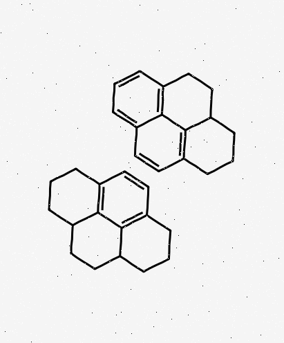 c1cc2c3c4c(ccc3c1)CCCC4CC2.c1cc2c3c4c1CCCC4CCC3CCC2